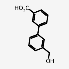 O=C(O)c1cccc(-c2cccc(CO)c2)c1